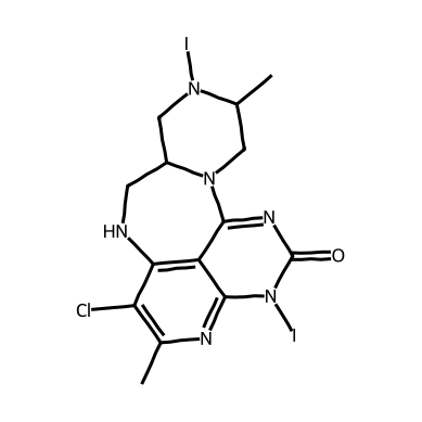 Cc1nc2c3c(nc(=O)n2I)N2CC(C)N(I)CC2CNc3c1Cl